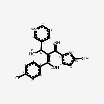 N=C(/C(=C(\O)c1ccc(Cl)cc1)C(O)c1cccnc1)c1ccc(Cl)s1